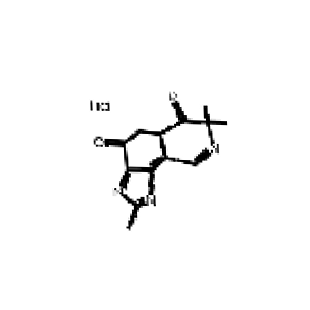 CC1=NC2=C3C=NC(C)(C)C(=O)C3CC(=O)C2=N1.Cl